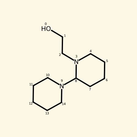 OCCN1CCCCC1N1CCCCC1